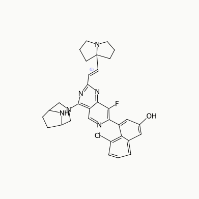 Oc1cc(-c2ncc3c(N4CC5CCC(C4)N5)nc(/C=C/C45CCCN4CCC5)nc3c2F)c2c(Cl)cccc2c1